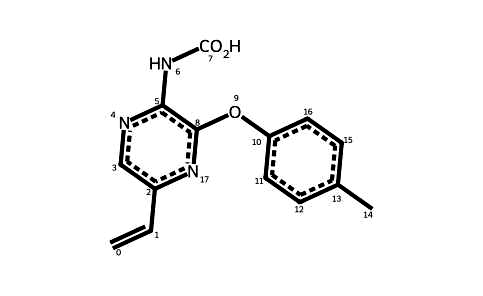 C=Cc1cnc(NC(=O)O)c(Oc2ccc(C)cc2)n1